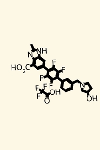 Cc1nc2c(C(=O)O)cc(-c3c(F)c(F)c(-c4cccc(CN5CCC(O)C5)c4)c(F)c3F)cc2[nH]1.O=C(O)C(F)(F)F